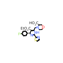 CCOC(=O)C1=C(CN2CCOC[C@H]2C(=O)O)NC(c2nccs2)=N[C@H]1c1ccc(F)cc1